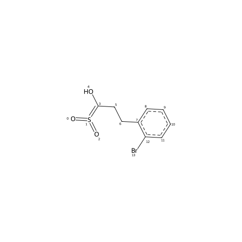 O=S(=O)=C(O)CCc1ccccc1Br